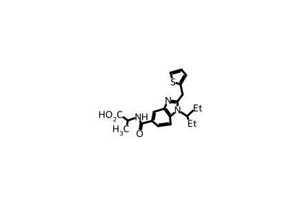 CCC(CC)n1c(Cc2cccs2)nc2cc(C(=O)NC(C)C(=O)O)ccc21